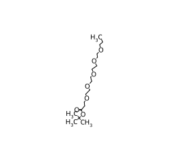 CCCOCCOCCOCCOCCOCCC(=O)OC(C)(C)C